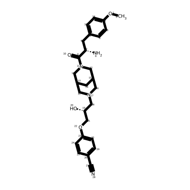 COc1ccc(C[C@H](N)C(=O)N2CC3CC(CN(C[C@@H](O)COc4ccc(C#N)cc4)C3)C2)cc1